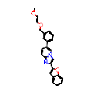 COCCOCc1cccc(-c2ccc3nc(-c4cc5ccccc5o4)cn3c2)c1